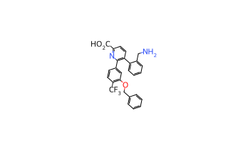 NCc1ccccc1-c1ccc(C(=O)O)nc1-c1ccc(C(F)(F)F)c(OCc2ccccc2)c1